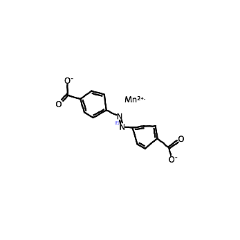 O=C([O-])c1ccc(/N=N/c2ccc(C(=O)[O-])cc2)cc1.[Mn+2]